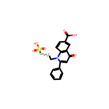 CCn1c(-c2ccccc2)cc(=O)c2cc(C(=O)O)ccc21.CS(=O)(=O)O